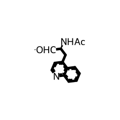 CC(=O)N[C@H]([C]=O)Cc1ccnc2ccccc12